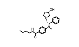 CCCCNC(=O)c1ccc(N(C)[C@H](CN2CC[C@H](O)C2)c2ccccc2)cc1